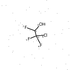 OC(F)C(F)(F)Cl